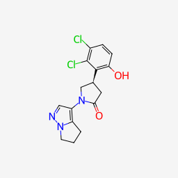 O=C1C[C@H](c2c(O)ccc(Cl)c2Cl)CN1c1cnn2c1CCC2